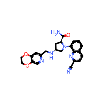 N#Cc1ccc2cccc(N3C[C@H](NCc4cc5c(cn4)OCCO5)C[C@H]3C(N)=O)c2n1